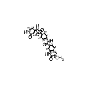 C[C@H]1Sc2ccc(C(=O)Nc3ccc(S(=O)(=O)Nc4cc[nH]c(=O)c4)cc3)cc2NC1=O